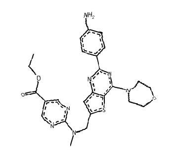 CCOC(=O)c1cnc(N(C)Cc2cc3nc(-c4ccc(N)cc4)nc(N4CCOCC4)c3s2)nc1